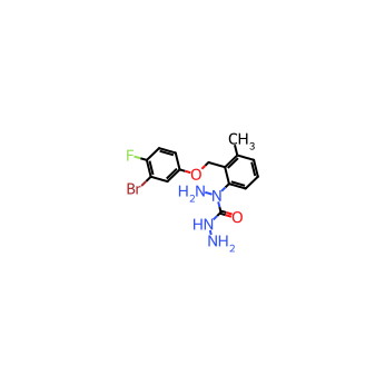 Cc1cccc(N(N)C(=O)NN)c1COc1ccc(F)c(Br)c1